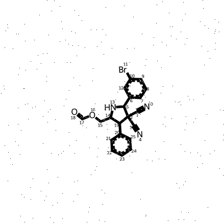 N#CC1(C#N)C(c2cccc(Br)c2)NC(COC=O)C1c1ccccc1